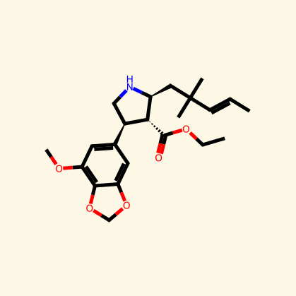 CC=CC(C)(C)C[C@@H]1NC[C@H](c2cc(OC)c3c(c2)OCO3)[C@H]1C(=O)OCC